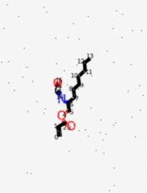 C=CC(=O)OCC(CCCCCCC)N=C=O